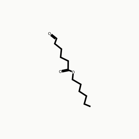 CCCCCCOC(=O)CCCCC=O